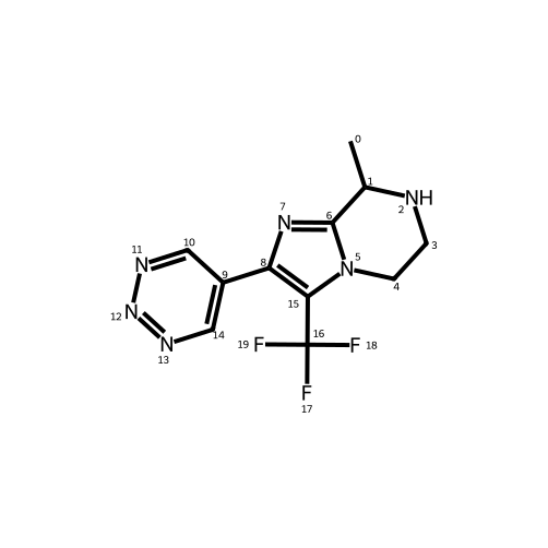 CC1NCCn2c1nc(-c1cnnnc1)c2C(F)(F)F